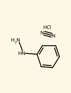 Cl.N#N.NNc1ccccc1